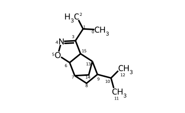 CC(C)C1=NOC2C3CC(C(C)C)C(C3)C12